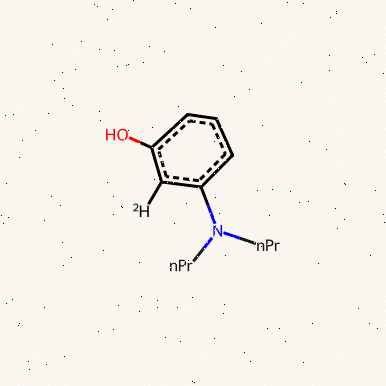 [2H]c1c(O)cccc1N(CCC)CCC